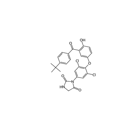 CC(C)(C)c1ccc(C(=O)c2cc(Oc3c(Cl)cc(N4C(=O)CNC4=O)cc3Cl)ccc2O)cc1